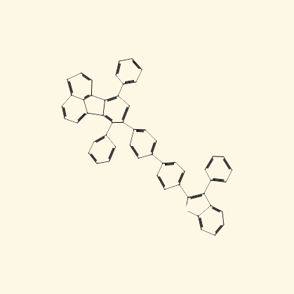 c1ccc(-c2cc(-c3ccc(-c4ccc(-c5sc6ccccc6c5-c5ccccc5)cc4)cc3)c(-c3ccccc3)c3c2-c2cccc4cccc-3c24)cc1